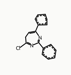 ClC1=NC(c2ccccc2)=NC(c2ccccc2)=CC1